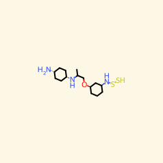 CC(CO[C@@H]1CCC[C@H](NSS)C1)N[C@H]1CC[C@@H](N)CC1